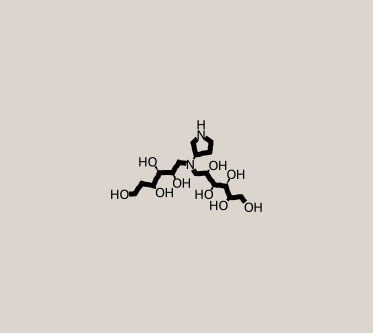 OCC[C@@H](O)[C@H](O)[C@@H](O)CN(C[C@H](O)[C@@H](O)[C@H](O)[C@H](O)CO)[C@H]1CCNC1